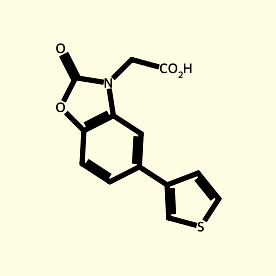 O=C(O)Cn1c(=O)oc2ccc(-c3ccsc3)cc21